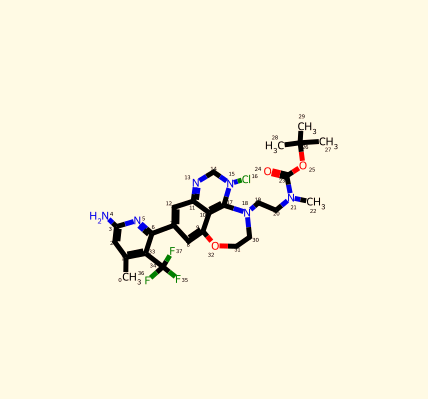 Cc1cc(N)nc(-c2cc3c4c(c2)=NCN(Cl)C=4N(CCN(C)C(=O)OC(C)(C)C)CCO3)c1C(F)(F)F